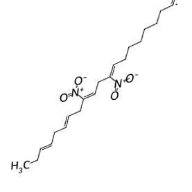 CC/C=C/C/C=C/C/C(=C/C/C(=C/CCCCCC[C]=O)[N+](=O)[O-])[N+](=O)[O-]